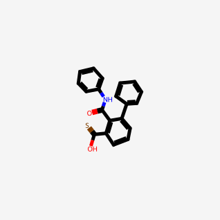 O=C(Nc1ccccc1)c1c(C(O)=S)cccc1-c1ccccc1